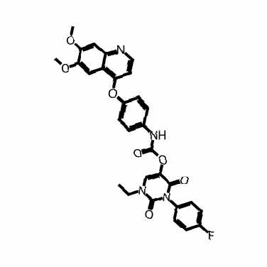 CCn1cc(OC(=O)Nc2ccc(Oc3ccnc4cc(OC)c(OC)cc34)cc2)c(=O)n(-c2ccc(F)cc2)c1=O